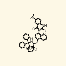 CN(C)c1ccc2[nH]c(=O)n(-c3ccc(CC(NC(c4ccccc4)(c4ccccc4)c4ccccc4)C(=O)O)c4cccnc34)c(=O)c2c1